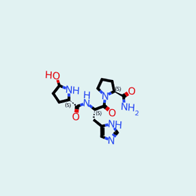 NC(=O)[C@@H]1CCCN1C(=O)[C@H](Cc1cnc[nH]1)NC(=O)[C@@H]1CCC(O)N1